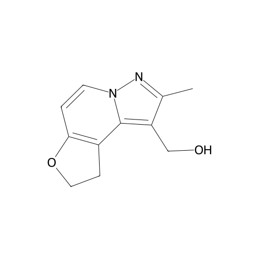 Cc1nn2ccc3c(c2c1CO)CCO3